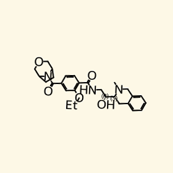 CCOc1cc(C(=O)N2C3CCC2COC3)ccc1C(=O)NC[C@@H](O)[C@@H]1Cc2ccccc2CN1C